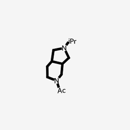 CC(=O)N1CCC2CN(C(C)C)CC2C1